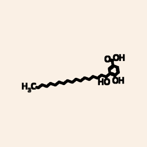 CCCCCCCCCCCCCCCCCC(O)c1cc(C(=O)O)ccc1O